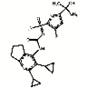 CC(C)(O)c1cc(F)c(S(N)(=O)=NC(=O)Nc2c3c(nc(C4CC4)c2C2CC2)CCC3)s1